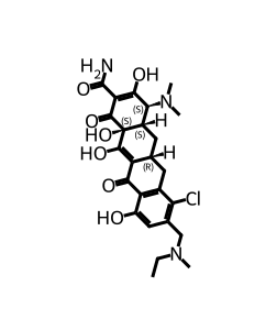 CCN(C)Cc1cc(O)c2c(c1Cl)C[C@H]1C[C@H]3[C@H](N(C)C)C(O)=C(C(N)=O)C(=O)[C@@]3(O)C(O)=C1C2=O